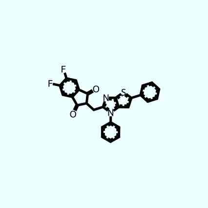 O=C1c2cc(F)c(F)cc2C(=O)C1Cc1nc2sc(-c3ccccc3)cc2n1-c1ccccc1